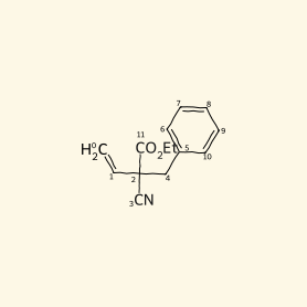 C=CC(C#N)(Cc1ccccc1)C(=O)OCC